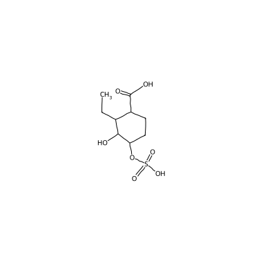 CCC1C(C(=O)O)CCC(OS(=O)(=O)O)C1O